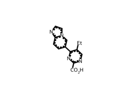 CCc1cnc(C(=O)O)nc1-c1ccc2nccn2c1